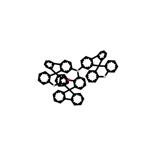 c1ccc2c(c1)Oc1ccccc1C21c2ccccc2-c2ccc(N(c3ccc4c(c3)C3(c5ccccc5Sc5ccccc53)c3ccccc3-4)c3cccc4c3-c3ccccc3C43c4ccccc4-c4ccccc43)cc21